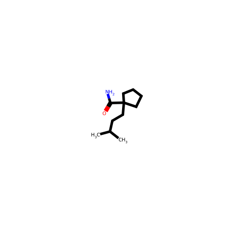 CC(C)CCC1(C(N)=O)CCCC1